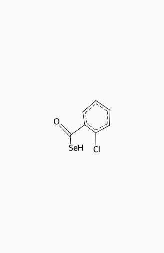 O=C([SeH])c1ccccc1Cl